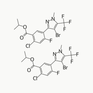 CC(C)OC(=O)c1cc(-c2nn(C)c(C(F)(F)F)c2Br)c(F)cc1Cl.CC(C)OC(=O)c1cc(-c2nn(C)c(C(F)(F)F)c2Br)c(F)cc1Cl